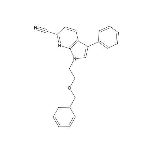 N#Cc1ccc2c(-c3ccccc3)cn(CCOCc3ccccc3)c2n1